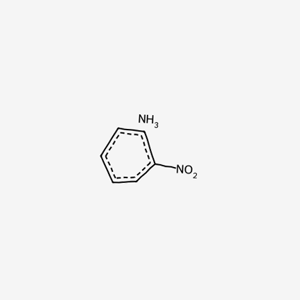 N.O=[N+]([O-])c1ccccc1